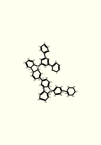 C1=CCCC(c2cc(-c3ccccc3)cc(N3C4C=CC=CC4C4C=CC(c5ccc6c(c5)c5ccccc5n6-c5ccc(C6=CCCCC6)cc5)=CC43)c2)=C1